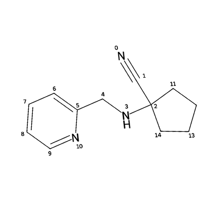 N#CC1(NCc2ccccn2)CCCC1